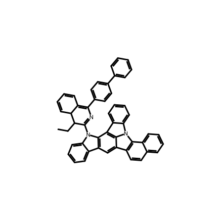 CCC1C(n2c3ccccc3c3cc4c5ccc6ccccc6c5n5c6ccccc6c(c32)c45)=NC(c2ccc(-c3ccccc3)cc2)=C2C=CC=CC21